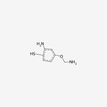 NCOc1ccc(S)c(N)c1